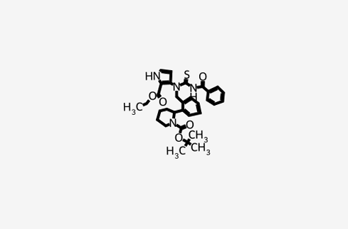 CCOC(=O)c1[nH]ccc1N(Cc1ccccc1C1CCCCN1C(=O)OC(C)(C)C)C(=S)NC(=O)c1ccccc1